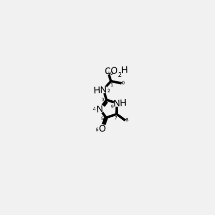 CC(NC1=NC(=O)C(C)N1)C(=O)O